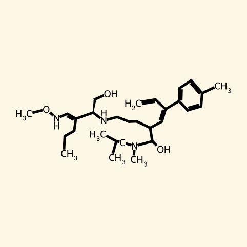 C=C/C(=C\C(CCCN[C@H](CO)/C(=C/NOC)CCC)C(O)N(C)CC(C)C)c1ccc(C)cc1